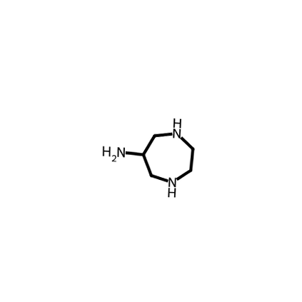 NC1CNCCNC1